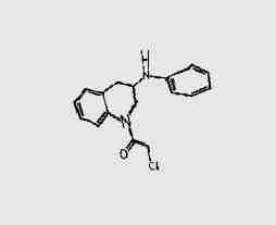 O=C(CCl)N1CC(Nc2ccccc2)Cc2ccccc21